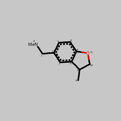 CNCc1ccc2c(c1)C(C)CO2